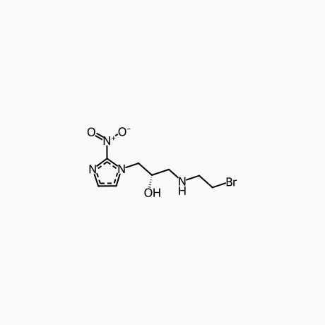 O=[N+]([O-])c1nccn1C[C@@H](O)CNCCBr